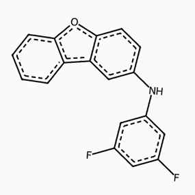 Fc1cc(F)cc(Nc2ccc3oc4ccccc4c3c2)c1